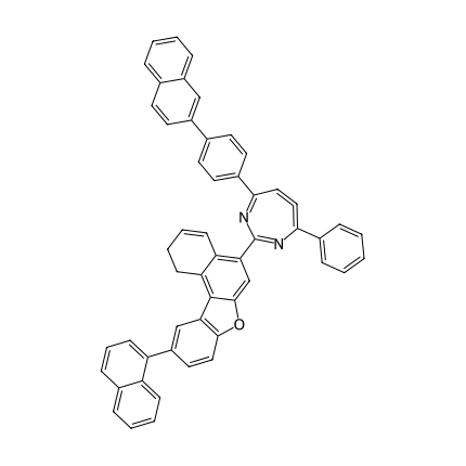 C1=CC(c2ccc(-c3ccc4ccccc4c3)cc2)=NC(c2cc3oc4ccc(-c5cccc6ccccc56)cc4c3c3c2C=CCC3)=NC=1c1ccccc1